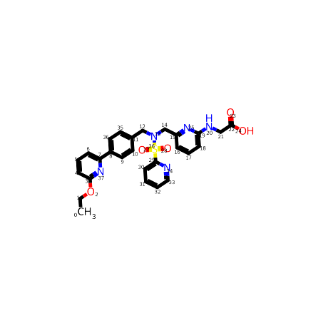 CCOc1cccc(-c2ccc(CN(Cc3cccc(NCC(=O)O)n3)S(=O)(=O)c3ccccn3)cc2)n1